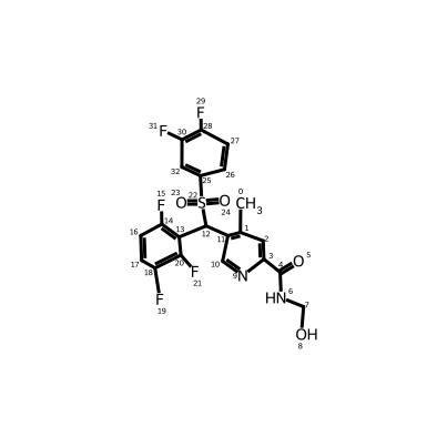 Cc1cc(C(=O)NCO)ncc1C(c1c(F)ccc(F)c1F)S(=O)(=O)c1ccc(F)c(F)c1